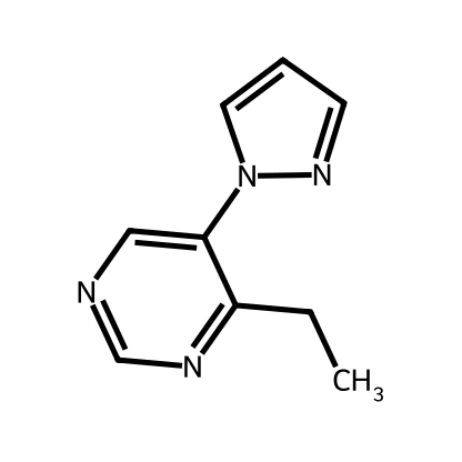 CCc1ncncc1-n1cccn1